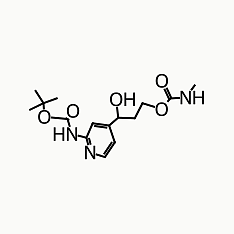 CNC(=O)OCCC(O)c1ccnc(NC(=O)OC(C)(C)C)c1